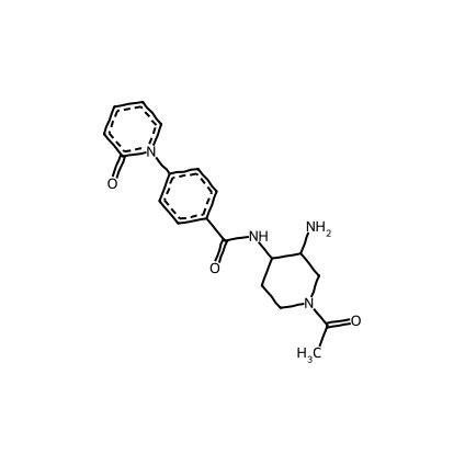 CC(=O)N1CCC(NC(=O)c2ccc(-n3ccccc3=O)cc2)C(N)C1